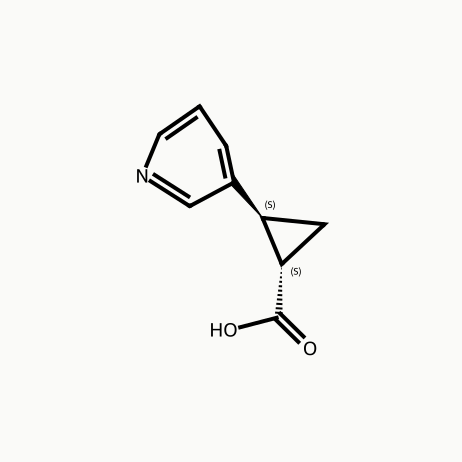 O=C(O)[C@H]1C[C@@H]1c1cccnc1